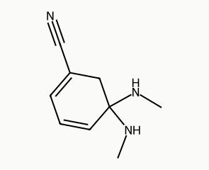 CNC1(NC)C=CC=C(C#N)C1